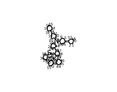 c1ccc(-c2ccc(N(c3ccc(-c4ccccc4)cc3)c3cccc(-c4cccc5c4-c4sc6ccccc6c4C5(c4ccccc4)c4ccccc4)c3)cc2)cc1